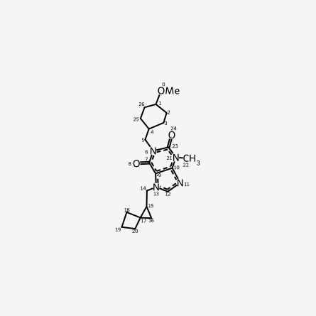 COC1CCC(Cn2c(=O)c3c(ncn3CC3CC34CCC4)n(C)c2=O)CC1